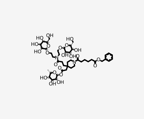 C[C@@H]1O[C@@H](OC(=O)CC2(CCC(=O)N(CCO[C@H]3O[C@H](CO)[C@@H](O)[C@H](O)[C@@H]3O)CCO[C@H]3O[C@H](CO)[C@@H](O)[C@H](O)[C@@H]3O)CCN(C(=O)CCCCC(=O)OCc3ccccc3)CC2)[C@@H](O)[C@H](O)[C@@H]1O